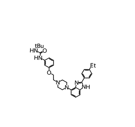 CCc1ccc(-c2nc3c(N4CCN(CCOc5cccc(NC(=O)NC(C)(C)C)c5)CC4)cccc3[nH]2)cc1